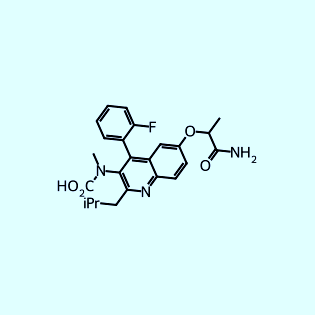 CC(C)Cc1nc2ccc(OC(C)C(N)=O)cc2c(-c2ccccc2F)c1N(C)C(=O)O